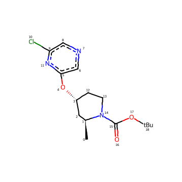 C[C@H]1C[C@H](Oc2cncc(Cl)n2)CCN1C(=O)OC(C)(C)C